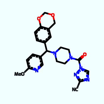 COc1ccc(C(c2ccc3c(c2)COCO3)N2CCN(C(=O)n3cnc(C#N)n3)CC2)cn1